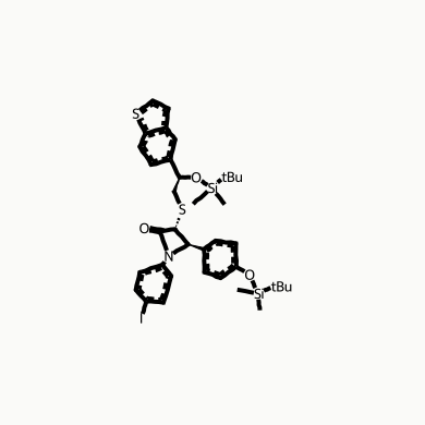 CC(C)(C)[Si](C)(C)Oc1ccc([C@@H]2[C@@H](SC[C@H](O[Si](C)(C)C(C)(C)C)c3ccc4sccc4c3)C(=O)N2c2ccc(I)cc2)cc1